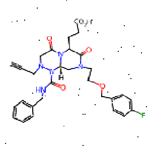 C#CCN1CC(=O)N2[C@@H](CCC(=O)O)C(=O)N(CCOCc3ccc(F)cc3)C[C@@H]2N1C(=O)NCc1ccccc1